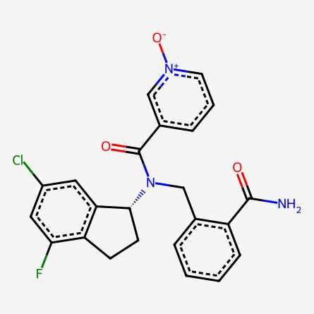 NC(=O)c1ccccc1CN(C(=O)c1ccc[n+]([O-])c1)[C@@H]1CCc2c(F)cc(Cl)cc21